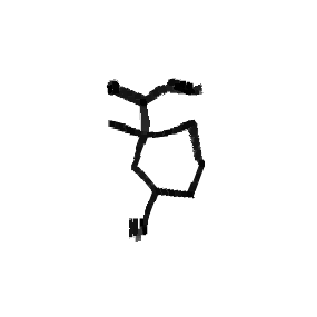 COC(=O)C1(C)CCCC(N)C1